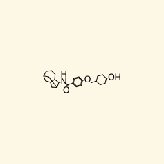 O=C(NC1C2CC3CCCC1C(C3)C2)c1ccc(OCC2CCC(O)CC2)cc1